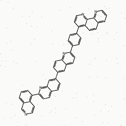 c1cc(-c2ccc3ccc(-c4ccc5nc(-c6ccc(-c7ccnc8c7ccc7cccnc78)cc6)ccc5c4)cc3n2)c2ccncc2c1